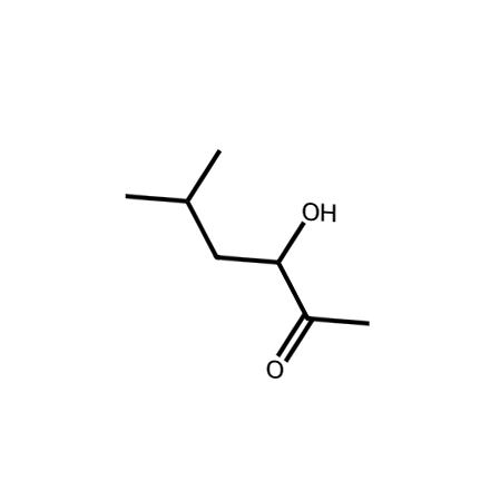 CC(=O)C(O)CC(C)C